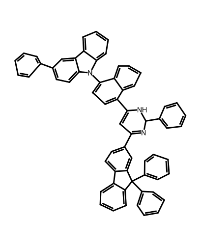 C1=C(c2ccc(-n3c4ccccc4c4cc(-c5ccccc5)ccc43)c3ccccc23)NC(c2ccccc2)N=C1c1ccc2c(c1)C(c1ccccc1)(c1ccccc1)c1ccccc1-2